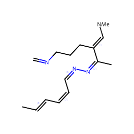 C=NCCCC(=C\NC)/C(C)=N\N=C/C=C\C=C\C